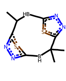 CC1Bc2nnc(s2)C(C)(C)Bc2nnc1s2